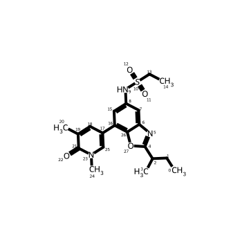 CCC(C)c1nc2cc(NS(=O)(=O)CC)cc(-c3cc(C)c(=O)n(C)c3)c2o1